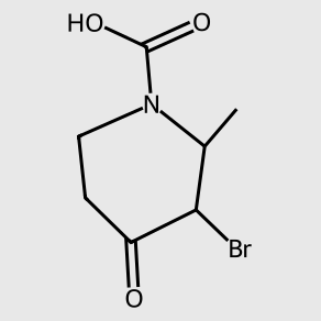 CC1C(Br)C(=O)CCN1C(=O)O